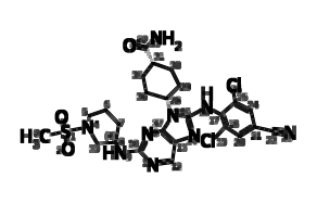 CS(=O)(=O)N1CCC[C@@H](Nc2ncc3nc(Nc4c(Cl)cc(C#N)cc4Cl)n([C@H]4CC[C@@H](C(N)=O)CC4)c3n2)C1